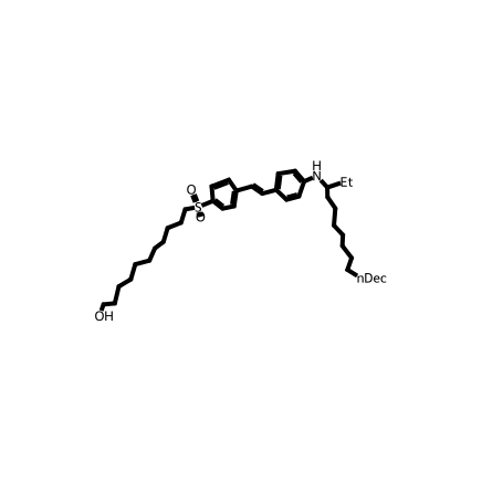 CCCCCCCCCCCCCCCCCC(CC)Nc1ccc(C=Cc2ccc(S(=O)(=O)CCCCCCCCCCCO)cc2)cc1